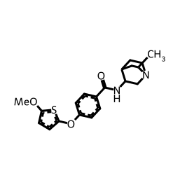 COc1ccc(Oc2ccc(C(=O)NC3CN4CCC3CC4C)cc2)s1